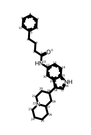 O=C(CCCc1ccccc1)Nc1ccc2[nH]cc(C3CCN4CCCCC4C3)c2c1